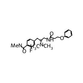 CNC(=O)c1ccc(C[C@@H](CNC(=O)CCOc2ccccc2)N(C)C)cc1F